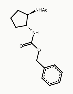 CC(=O)N[C@@H]1CCC[C@H]1NC(=O)OCc1ccccc1